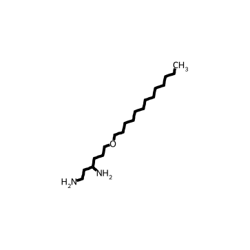 CCCCCCCCCCCCCOCCCC(N)CCN